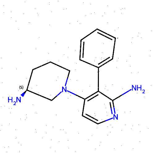 Nc1nccc(N2CCC[C@H](N)C2)c1-c1c[c]ccc1